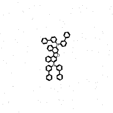 c1ccc(-c2cccc(N(c3cccc(-c4ccccc4)c3)c3cc4oc5cc(N(c6cccc(-c7ccccc7)c6)c6cccc(-c7ccccc7)c6)c6ccccc6c5c4c4ccccc34)c2)cc1